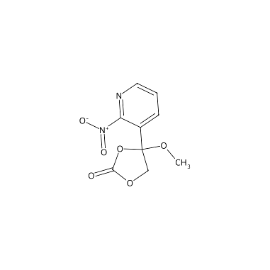 COC1(c2cccnc2[N+](=O)[O-])COC(=O)O1